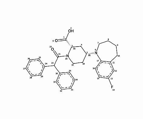 O=C(O)[C@@H]1C[C@H](N2CCCCc3cc(F)ccc32)CCN1C(=O)C(c1ccccc1)c1ccccc1